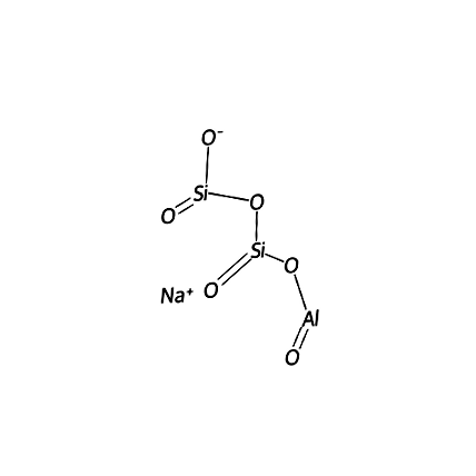 [Na+].[O]=[Al][O][Si](=O)O[Si](=O)[O-]